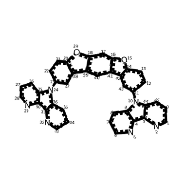 c1cnc2c3ncccc3n(-c3ccc4oc5cc6oc7ccc(-n8c9cccnc9c9ncccc98)cc7c6cc5c4c3)c2c1